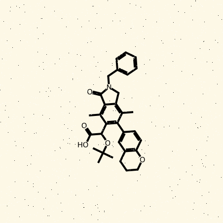 Cc1c2c(c(C)c(C(OC(C)(C)C)C(=O)O)c1-c1ccc3c(c1)CCCO3)C(=O)N(Cc1ccccc1)C2